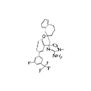 CN1OC2(CC3(CCCc4ccccc4C3)Oc3ccc(-c4cc(F)cc(C(F)(F)F)c4)cc32)N=C1N